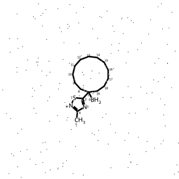 BC1(c2nc(C)ns2)CCCCCCCCCCCC1